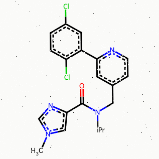 CC(C)N(Cc1ccnc(-c2cc(Cl)ccc2Cl)c1)C(=O)c1cn(C)cn1